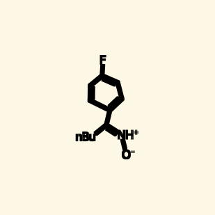 CCCCC(=[NH+][O-])c1ccc(F)cc1